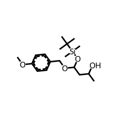 COc1ccc(COC(CC(C)O)O[Si](C)(C)C(C)(C)C)cc1